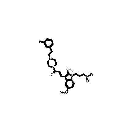 CCN(CC)CCCn1c(C)c(/C=C/C(=O)N2CCN(CCc3cccc(F)c3)CC2)c2cc(OC)ccc21